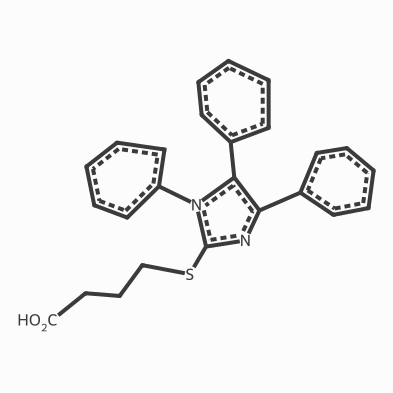 O=C(O)CCCSc1nc(-c2ccccc2)c(-c2ccccc2)n1-c1ccccc1